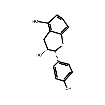 Oc1ccc([C@H]2Oc3cccc(O)c3C[C@H]2O)cc1